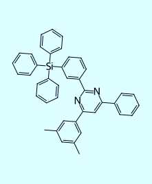 Cc1cc(C)cc(-c2cc(-c3ccccc3)nc(-c3cccc([Si](c4ccccc4)(c4ccccc4)c4ccccc4)c3)n2)c1